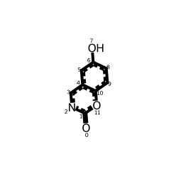 O=c1ncc2cc(O)ccc2o1